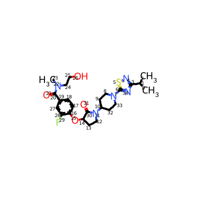 CC(C)c1nsc(N2CCC(N3CCC(Oc4ccc(C(=O)N(C)CCO)cc4F)C3=O)CC2)n1